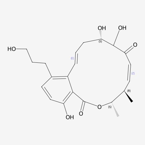 C[C@@H]1/C=C\C(=O)C(O)[C@@H](O)C/C=C/c2c(CCCO)ccc(O)c2C(=O)O[C@H]1C